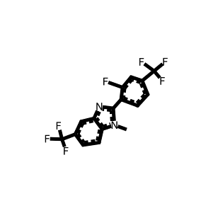 Cn1c(-c2ccc(C(F)(F)F)cc2F)nc2cc(C(F)(F)F)ccc21